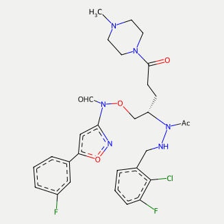 CC(=O)N(NCc1cccc(F)c1Cl)[C@@H](CCC(=O)N1CCN(C)CC1)CON(C=O)c1cc(-c2cccc(F)c2)on1